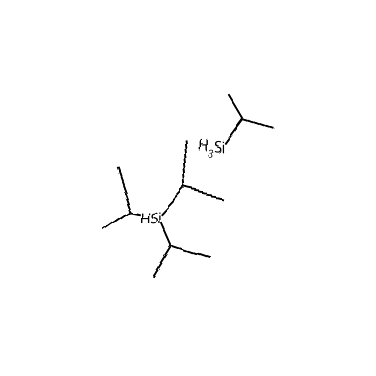 CC(C)[SiH3].CC(C)[SiH](C(C)C)C(C)C